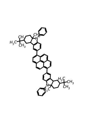 CC(C)(C)C1CCC2(C)C(C1)c1cc(-c3ccc4ccc5c(-c6ccc7c(c6)C6CC(C(C)(C)C)CCC6(C)N7c6ccccc6)ccc6ccc3c4c65)ccc1N2c1ccccc1